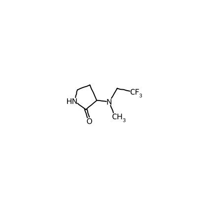 CN(CC(F)(F)F)C1CCNC1=O